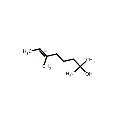 C/C=C(\C)CCCC(C)(C)O